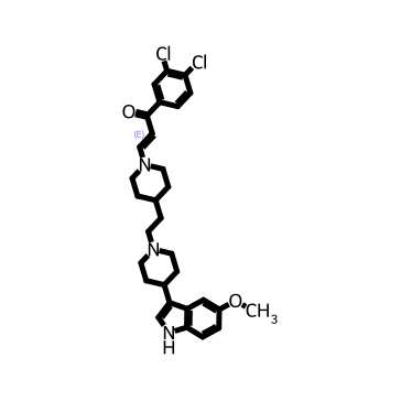 COc1ccc2[nH]cc(C3CCN(CCC4CCN(/C=C/C(=O)c5ccc(Cl)c(Cl)c5)CC4)CC3)c2c1